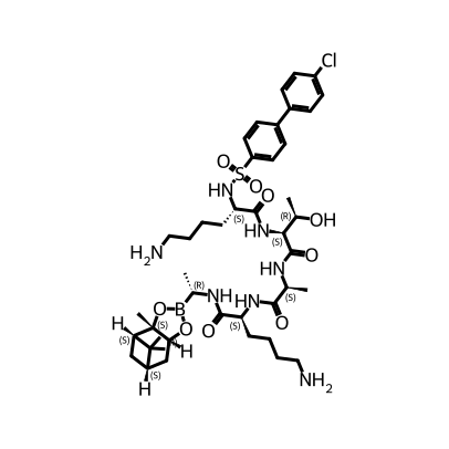 C[C@H](NC(=O)[C@H](CCCCN)NC(=O)[C@H](C)NC(=O)[C@@H](NC(=O)[C@H](CCCCN)NS(=O)(=O)c1ccc(-c2ccc(Cl)cc2)cc1)[C@@H](C)O)B1O[C@@H]2C[C@@H]3C[C@@H](C3(C)C)[C@]2(C)O1